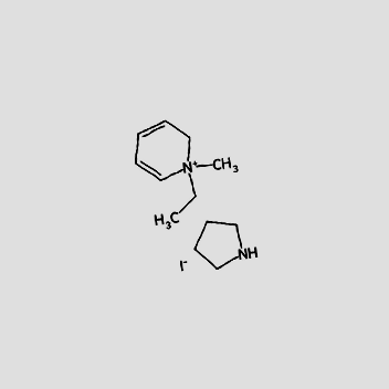 C1CCNC1.CC[N+]1(C)C=CC=CC1.[I-]